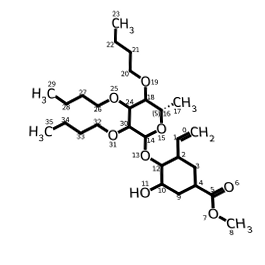 C=CC1CC(C(=O)OC)CC(O)C1OC1O[C@@H](C)C(OCCCC)C(OCCCC)C1OCCCC